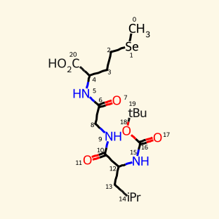 C[Se]CCC(NC(=O)CNC(=O)C(CC(C)C)NC(=O)OC(C)(C)C)C(=O)O